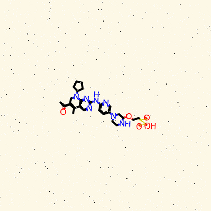 CC(=O)C1=C(C)c2cnc(Nc3ccc(N4CCNC(OCCS(=O)(=O)O)C4)cn3)nc2N(C2CCCC2)C1